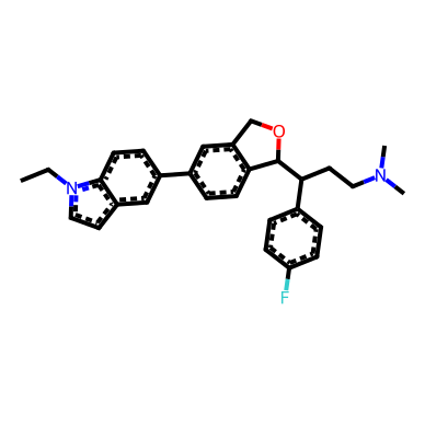 CCn1ccc2cc(-c3ccc4c(c3)COC4C(CCN(C)C)c3ccc(F)cc3)ccc21